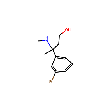 CNC(C)(CCO)c1cccc(Br)c1